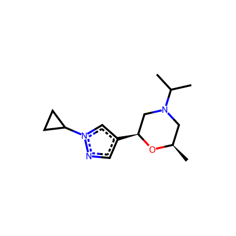 CC(C)N1C[C@@H](C)O[C@@H](c2cnn(C3CC3)c2)C1